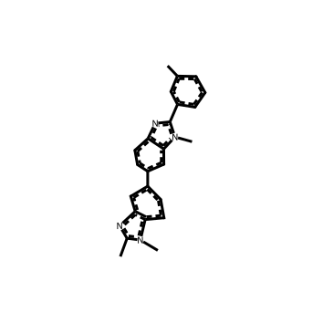 Cc1cccc(-c2nc3ccc(-c4ccc5c(c4)nc(C)n5C)cc3n2C)c1